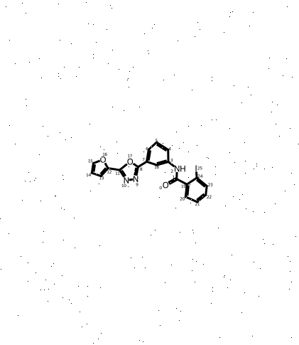 O=C(Nc1cccc(-c2nnc(-c3ccco3)o2)c1)c1ccccc1I